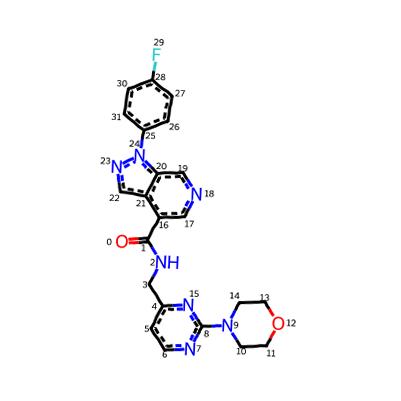 O=C(NCc1ccnc(N2CCOCC2)n1)c1cncc2c1cnn2-c1ccc(F)cc1